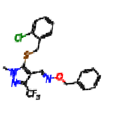 Cn1nc(C(F)(F)F)c(/C=N/OCc2ccccc2)c1SCc1ccccc1Cl